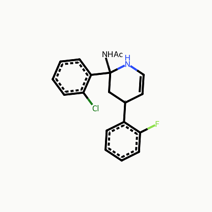 CC(=O)NC1(c2ccccc2Cl)C[C](c2ccccc2F)C=CN1